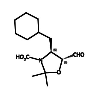 CC1(C)O[C@@H](C=O)[C@H](CC2CCCCC2)N1C(=O)O